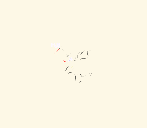 COc1cccc(-c2ccc(C(=O)N([C@@H](CCC(N)=O)C(=O)O)C(C)(C)Cc3ccc(Cl)cc3)s2)c1